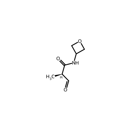 C[C@H](C=O)C(=O)NC1COC1